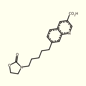 O=C(O)c1cnc2cc(CCCCCN3CCOC3=O)ccc2c1